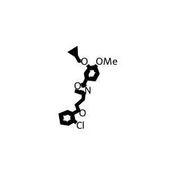 COc1ccc(-c2nc(CCC(=O)c3ccccc3Cl)co2)cc1OCC1CC1